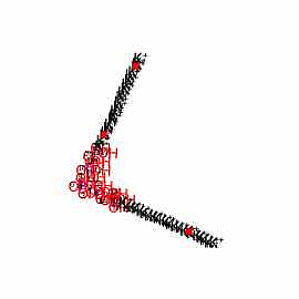 O=P(O)(O)O.O=P(O)(O)O.O=P(O)(O)O.O=P(O)(O)O.O=P(O)(O)O.[K+].[K+].[K+].[K+].[K+].[K+].[K+].[K+].[K+].[K+].[K+].[K+].[K+].[K+].[K+].[K+].[K+].[K+].[K+].[K+].[K+].[K+].[K+].[K+].[K+].[K+].[K+].[K+].[K+].[K+].[K+].[K+].[K+].[K+].[K+].[K+].[K+].[K+].[K+].[K+].[K+].[K+].[K+]